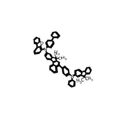 CC1(C)c2ccccc2-c2ccc(N(c3ccccc3)c3ccc(-c4cc5c(c6ccccc46)-c4ccc(N(c6ccc(-c7ccccc7)cc6)c6cccc7c6oc6ccccc67)cc4C5(C)C)cc3)cc21